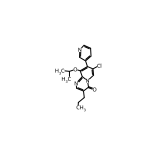 CCCc1cnc2c(OC(C)C)c(-c3cccnc3)c(Cl)cn2c1=O